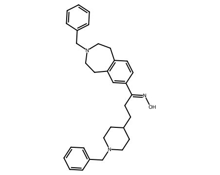 O/N=C(\CCC1CCN(Cc2ccccc2)CC1)c1ccc2c(c1)CCN(Cc1ccccc1)CC2